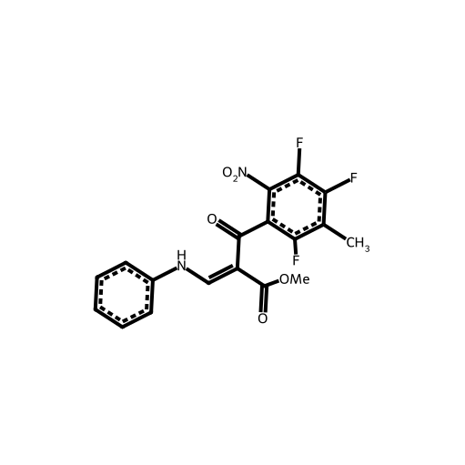 COC(=O)C(=CNc1ccccc1)C(=O)c1c(F)c(C)c(F)c(F)c1[N+](=O)[O-]